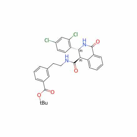 CC(C)(C)OC(=O)c1cccc(CCNC(=O)[C@@H]2c3ccccc3C(=O)N[C@H]2c2ccc(Cl)cc2Cl)c1